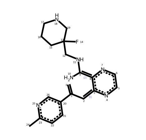 C=C(/C=c1/nccn/c1=C(/N)NCC1(F)CCCNC1)c1ccc(C)nc1